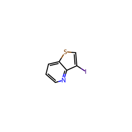 Ic1csc2cccnc12